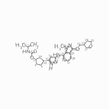 CC(C)NC(=O)O[C@@H]1CC[C@H](c2cc(Nc3nccc4c(OCC5CCOC5)nn(C)c34)n[nH]2)C1